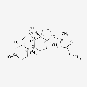 COC(=O)C[C@@H](C)[C@H]1CC[C@H]2[C@@H]3[C@@H](O)C[C@@H]4C[C@H](O)CC[C@]4(C)[C@H]3CC[C@]12C